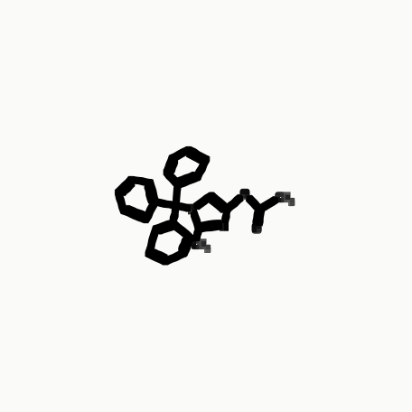 CC(=O)Oc1cn(C(c2ccccc2)(c2ccccc2)c2ccccc2)c(C)n1